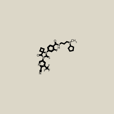 CN(CCCNC(=O)c1ccc(N2C(=S)N(c3cnc(C#N)c(C(F)(F)F)c3)C(=O)C23CCC3)cc1F)C1CCCC1